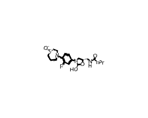 CCCC(=O)NC[C@H]1CN(c2ccc(N3CCC[S+]([O-])CC3)c(F)c2)C(O)O1